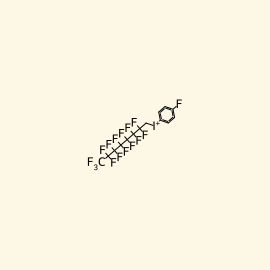 Fc1ccc([I+]CC(F)(F)C(F)(F)C(F)(F)C(F)(F)C(F)(F)C(F)(F)C(F)(F)F)cc1